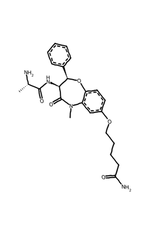 C[C@H](N)C(=O)N[C@@H]1C(=O)N(C)c2cc(OCCCCC(N)=O)ccc2O[C@@H]1c1ccccc1